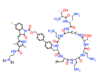 CCN(CC)CCNC(=O)c1c(C)[nH]c(/C=C2\C(=O)N(C(=O)OCc3ccc(-c4ccc(CC5NC(=O)C(CCN)NC(=O)C(NC(=O)[C@@H](CCN)NC(=O)C(N)[C@H](C)O)CCNC(=O)[C@@H]([C@@H](C)O)NC(=O)[C@@H](CCN)NC(=O)[C@@H](CCN)NC(=O)[C@@H](CC(C)C)NC5=O)cc4)cc3)c3ccc(F)cc32)c1C